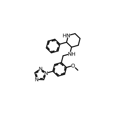 COc1ccc(-n2cncn2)cc1CNC1CCCNC1c1ccccc1